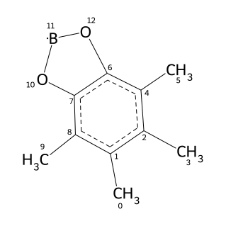 Cc1c(C)c(C)c2c(c1C)O[B]O2